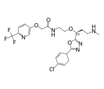 CNCC[C@H](OCCNC(=O)COc1ccc(C(F)(F)F)nc1)c1nnc(C2C=CC(Cl)=CC2)o1